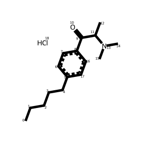 CCCCCc1ccc(C(=O)C(C)N(C)C)cc1.Cl